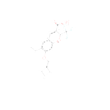 CCc1cc2c(cc1OCC1CCC1)OC(C(F)(F)F)C(C(=O)O)=C2